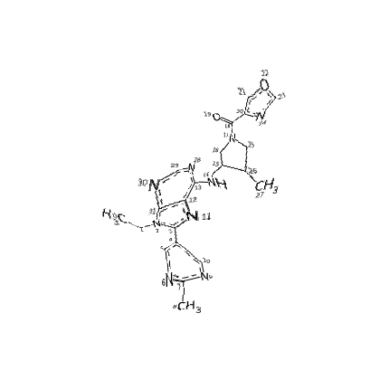 CCn1c(-c2cnc(C)nc2)nc2c(NC3CN(C(=O)c4cocn4)CC3C)ncnc21